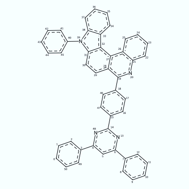 c1ccc(-c2cc(-c3ccccc3)nc(-c3ccc(-c4nc5ccccc5c5c4ccc4c5c5ccccc5n4-c4ccccc4)cc3)n2)cc1